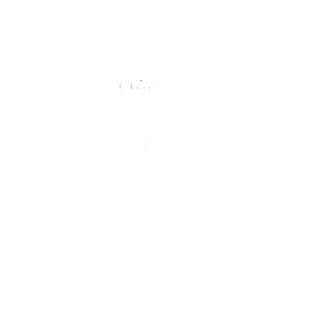 CC(=O)OSSCc1ccccc1